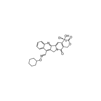 CC[C@@]1(O)C(=O)OCc2c1cc1n(c2=O)Cc2c-1nc1ccccc1c2C=NOC1CCCCC1